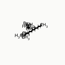 CCCCCCCCCCCC[N+](C)(C)C.O=S(=O)(O)O.[AlH3].[Br-]